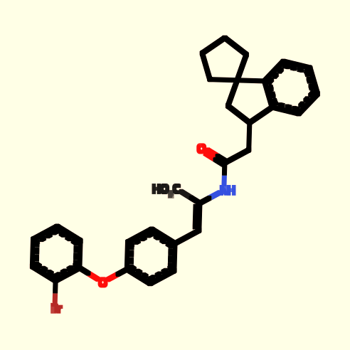 O=C(CC1CC2(CCCC2)c2ccccc21)N/C(=C/c1ccc(Oc2ccccc2Br)cc1)C(=O)O